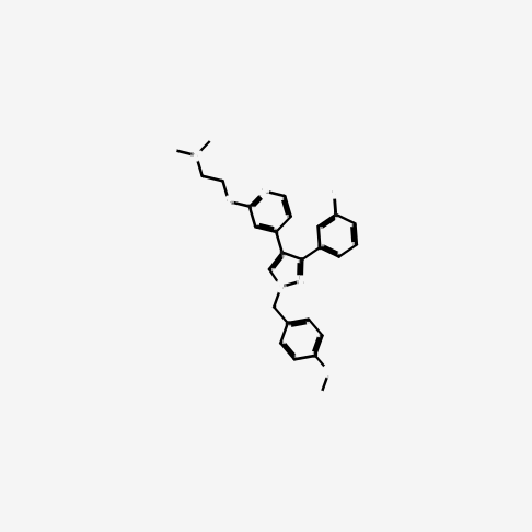 COc1ccc(Cn2cc(-c3ccnc(NCCN(C)C)c3)c(-c3cccc(N)c3)n2)cc1